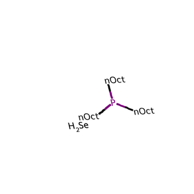 CCCCCCCCP(CCCCCCCC)CCCCCCCC.[SeH2]